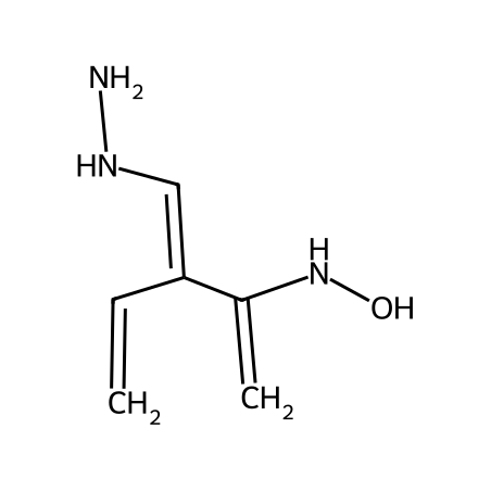 C=C/C(=C\NN)C(=C)NO